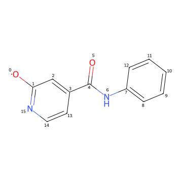 [O]c1cc(C(=O)Nc2ccccc2)ccn1